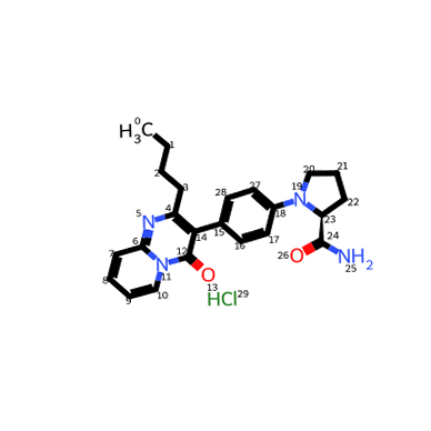 CCCCc1nc2ccccn2c(=O)c1-c1ccc(N2CCC[C@H]2C(N)=O)cc1.Cl